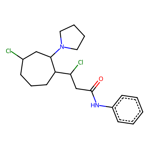 O=C(CC(Cl)C1CCCC(Cl)CC1N1CCCC1)Nc1ccccc1